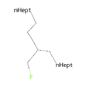 CCCCCCCCCC(CF)CCCCCCCC